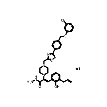 C=CCc1cccc(C=C(C(=O)NN)N2CCN(Cc3nc(-c4ccc(COc5cccc(Cl)c5)cc4)no3)CC2)c1O.Cl